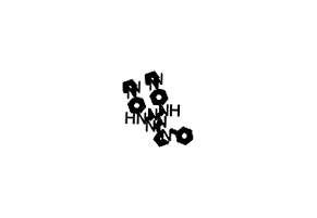 c1ccc(Cn2cccc2-c2nc(Nc3ccc(-n4cccn4)cc3)nc(Nc3ccc(-n4cccn4)cc3)n2)cc1